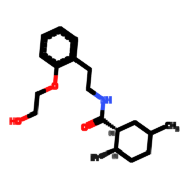 CC1CC[C@@H](C(C)C)[C@H](C(=O)NCCc2ccccc2OCCO)C1